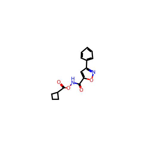 O=C(NOC(=O)C1CCC1)c1cc(-c2ccccc2)no1